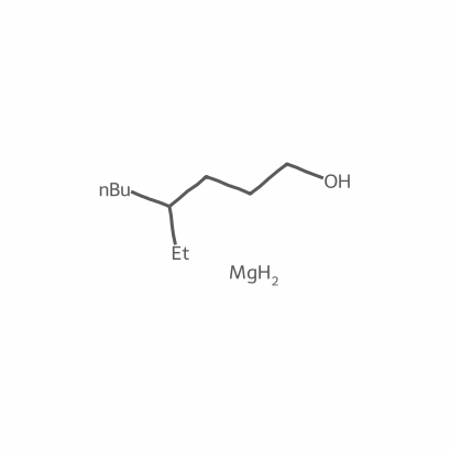 CCCCC(CC)CCCO.[MgH2]